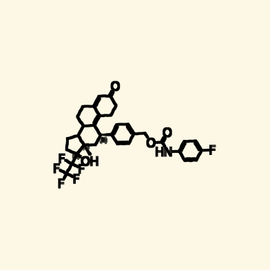 C[C@]12C[C@H](c3ccc(COC(=O)Nc4ccc(F)cc4)cc3)C3=C4CCC(=O)C=C4CCC3C1CC[C@@]2(O)C(F)(F)C(F)(F)F